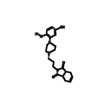 CC(C)Oc1ccc(O)cc1N1CCN(CCCN2C(=O)C3CC=CCC3C2=O)CC1